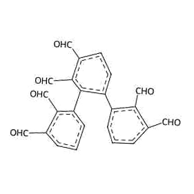 O=Cc1cccc(-c2ccc(C=O)c(C=O)c2-c2cccc(C=O)c2C=O)c1C=O